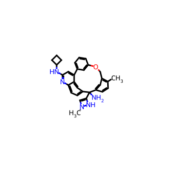 Cc1ccc2cc1COc1cccc(c1)-c1cc(NC3CCC3)nc3ccc(cc13)C2(N)c1cn(C)[nH]1